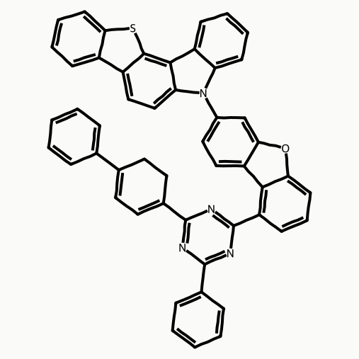 C1=C(c2ccccc2)CCC(c2nc(-c3ccccc3)nc(-c3cccc4oc5cc(-n6c7ccccc7c7c8sc9ccccc9c8ccc76)ccc5c34)n2)=C1